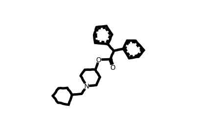 O=C(OC1CCN(CC2CCCCC2)CC1)C(c1ccccc1)c1ccccc1